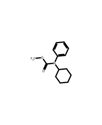 O=C(OC(F)(F)F)N(c1ccccc1)C1CCCCC1